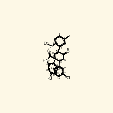 CCOc1ccc(C)cc1C1=C[C@@]2(C(=O)Nc3cc(Cl)ccc32)[C@H](c2cccc(Cl)c2)CC1=O